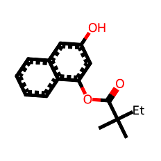 CCC(C)(C)C(=O)Oc1cc(O)cc2ccccc12